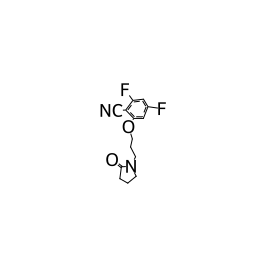 N#Cc1c(F)cc(F)cc1OCCCN1CCCC1=O